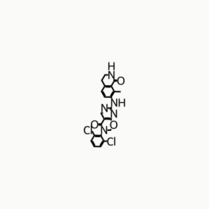 Cc1c(Nc2ncc3c(n2)OCN(c2c(Cl)cccc2Cl)C3=O)ccc2c1C(=O)NCC2